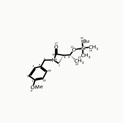 COc1ccc(CN2C[C@@H]([C@@H](C)O[Si](C)(C)C(C)(C)C)C2=O)cc1